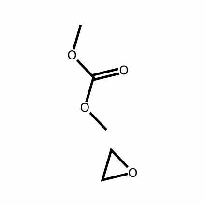 C1CO1.COC(=O)OC